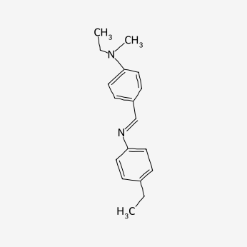 CCc1ccc(/N=C/c2ccc(N(C)CC)cc2)cc1